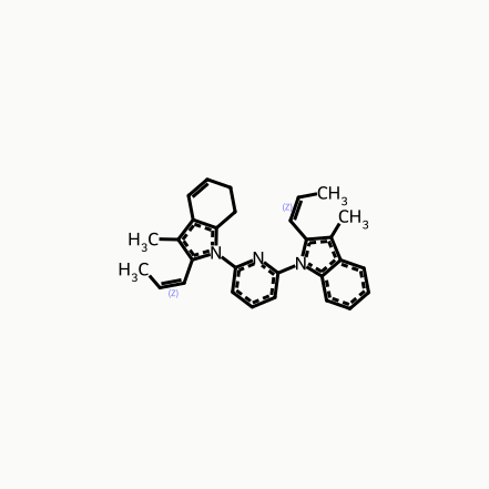 C/C=C\c1c(C)c2c(n1-c1cccc(-n3c(/C=C\C)c(C)c4ccccc43)n1)CCC=C2